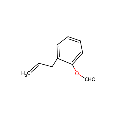 C=CCc1ccccc1O[C]=O